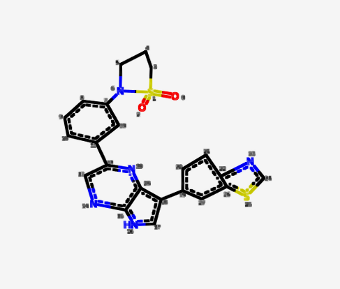 O=S1(=O)CCCN1c1cccc(-c2cnc3[nH]cc(-c4ccc5ncsc5c4)c3n2)c1